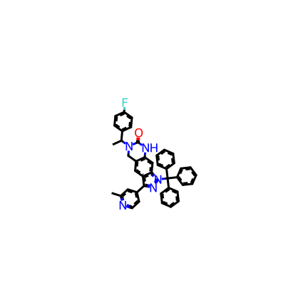 Cc1cc(-c2nn(C(c3ccccc3)(c3ccccc3)c3ccccc3)c3cc4c(cc23)CN(C(C)c2ccc(F)cc2)C(=O)N4)ccn1